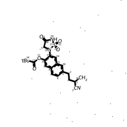 CC(C#N)CCc1ccc2cc(OC(=O)C(C)(C)C)c(N3CC(=O)NS3(=O)=O)cc2c1